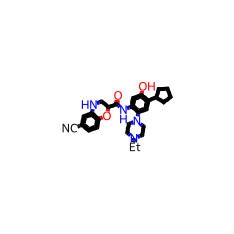 CCN1CCN(c2cc(C3CCCC3)c(O)cc2NC(=O)C2CNc3cc(C#N)ccc3O2)CC1